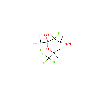 CC1(O)CC(C)(C(F)(F)F)OC(O)(C(F)(F)F)C1(F)F